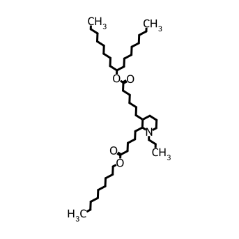 CCCCCCCCCOC(=O)CCCCC1C(CCCCCC(=O)OC(CCCCCCCC)CCCCCCCC)CCCN1CCC